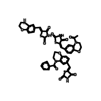 CC(=O)N1CCOc2ccc(C=C3SC(=O)NC3=O)cc21.O=C1NC(=O)C(=Cc2ccc3c(c2)N(C(=O)c2ccccc2)CCO3)S1.O=C1NC(=O)C(=Cc2ccc3c(c2)NCCO3)S1